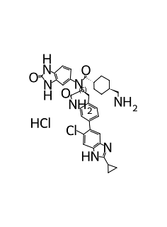 Cl.NC[C@H]1CC[C@H](C(=O)N(c2ccc3[nH]c(=O)[nH]c3c2)[C@@H](Cc2ccc(-c3cc4nc(C5CC5)[nH]c4cc3Cl)cc2)C(N)=O)CC1